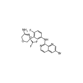 NC1=N[C@@](c2cc(Nc3nccc4cc(Br)cnc34)ccc2F)(C(F)F)COC1